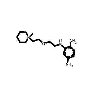 C[N+]1(CCOCCNc2cc(N)ccc2N)CCCCC1